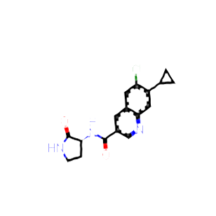 O=C(N[C@H]1CCNC1=O)c1cnc2cc(C3CC3)c(Cl)cc2c1